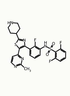 Cc1nccc(-c2sc(C3CCNCC3)nc2-c2cccc(NS(=O)(=O)c3c(F)cccc3F)c2F)n1